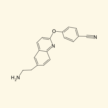 N#Cc1ccc(Oc2ccc3cc(CCN)ccc3n2)cc1